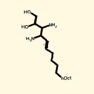 CCCCCCCCCCCC/C=C/C(N)C(N)C(O)CO